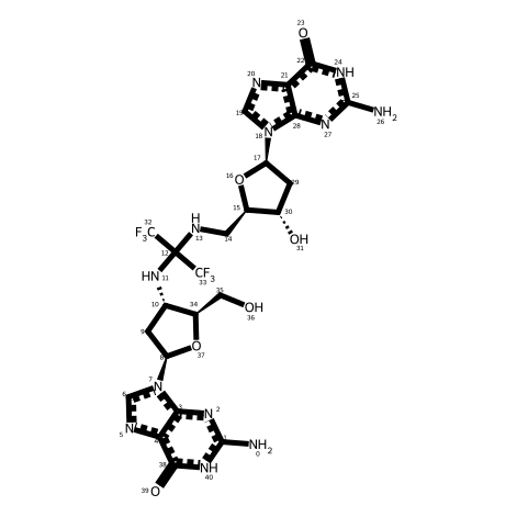 Nc1nc2c(ncn2[C@H]2C[C@H](NC(NC[C@H]3O[C@@H](n4cnc5c(=O)[nH]c(N)nc54)C[C@@H]3O)(C(F)(F)F)C(F)(F)F)[C@@H](CO)O2)c(=O)[nH]1